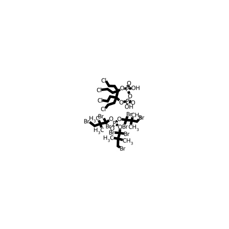 CC(C)(CBr)C(Br)(Br)OP(=O)(OC(Br)(Br)C(C)(C)CBr)OC(Br)(Br)C(C)(C)CBr.O=P1(O)OC(CCCl)(CCCl)C(CCCl)(CCCl)OP(=O)(O)O1